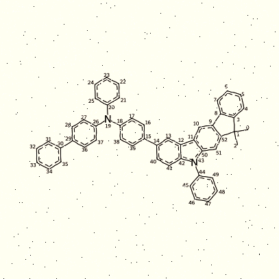 CC1(C)c2ccccc2-c2cc3c4cc(-c5ccc(N(c6ccccc6)c6ccc(-c7ccccc7)cc6)cc5)ccc4n(-c4ccccc4)c3cc21